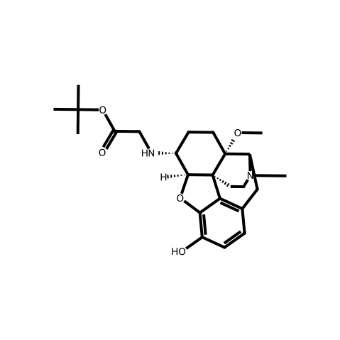 CO[C@@]12CC[C@@H](NCC(=O)OC(C)(C)C)[C@@H]3Oc4c(O)ccc5c4[C@@]31CCN(C)C2C5